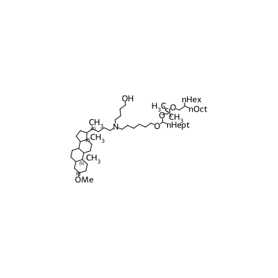 CCCCCCCCC(CCCCCC)CO[Si](C)(C)OC(CCCCCCC)OCCCCCCN(CCCCO)CCC[C@@H](C)C1CCC2C3CCC4C[C@H](OC)CC[C@]4(C)C3CC[C@@]21C